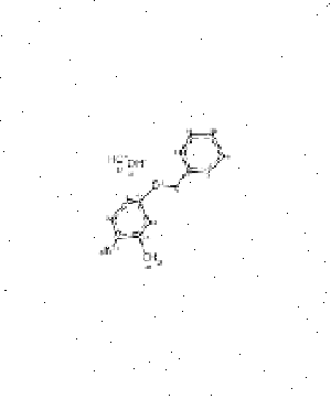 [B+2]c1ccc(OCc2ccccc2)cc1C.[OH-].[OH-]